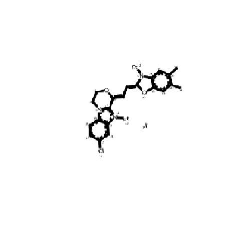 CCN1C(=CC=C2OCCn3c2[n+](CC)c2cc(Cl)ccc23)Oc2cc(C)c(C)cc21.[I-]